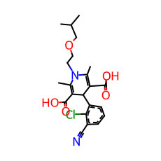 CC1=C(C(=O)O)C(c2cccc(C#N)c2Cl)C(C(=O)O)=C(C)N1CCOCC(C)C